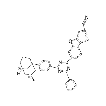 C[C@H]1C[C@H]2CCCC(c3ccc(-c4nc(-c5ccccc5)nc(-c5ccc6c(c5)oc5cc(C#N)ccc56)n4)cc3)(C1)C2